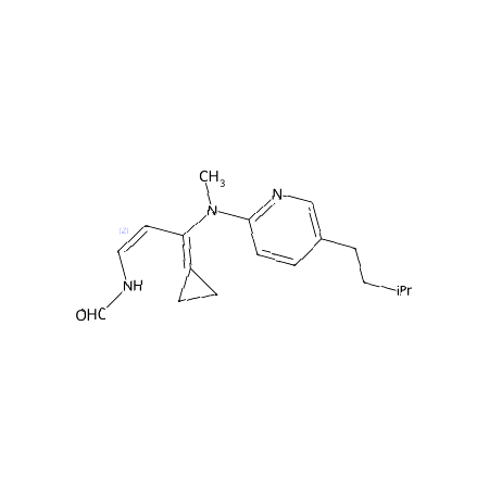 CC(C)CCc1ccc(N(C)C(/C=C\NC=O)=C2CC2)nc1